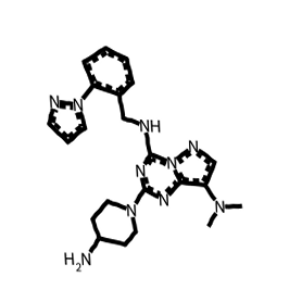 CN(C)c1cnn2c(NCc3ccccc3-n3cccn3)nc(N3CCC(N)CC3)nc12